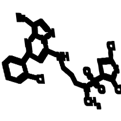 CN(CCCNc1cc(-c2ccccc2Cl)nc2c(Br)cnn12)S(=O)(=O)c1cc(Cl)sc1Cl